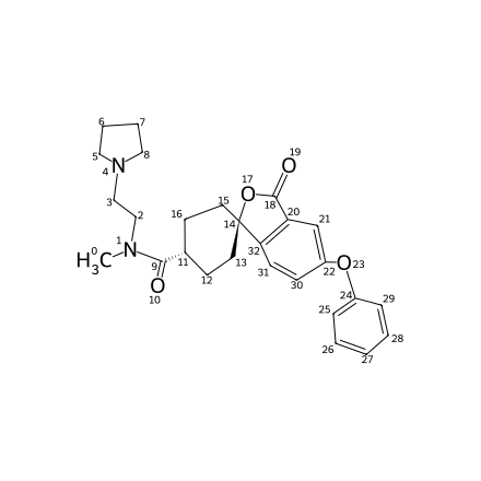 CN(CCN1CCCC1)C(=O)[C@H]1CC[C@@]2(CC1)OC(=O)c1cc(Oc3ccccc3)ccc12